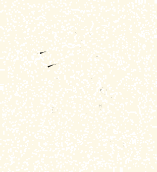 CCC(c1ccc(I)cc1)C1C[C@@]2(C)C(=C(C)C1=O)CCC[C@@H]2O